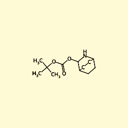 CC(C)(C)OC(=O)OC1NC2CCC1CC2